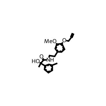 C#CCOc1ccc(CCNC(=O)C(C)(O)c2cccc(C)c2)cc1OC